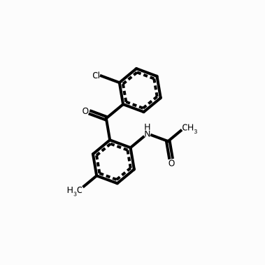 CC(=O)Nc1ccc(C)cc1C(=O)c1ccccc1Cl